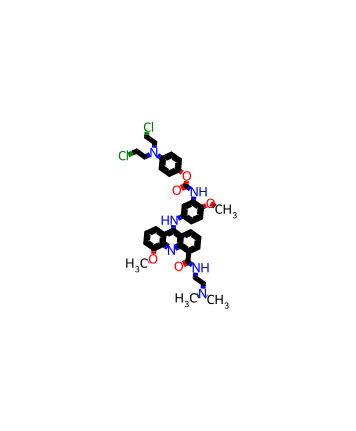 COc1ccc(Nc2c3cccc(OC)c3nc3c(C(=O)NCCN(C)C)cccc23)cc1NC(=O)Oc1ccc(N(CCCl)CCCl)cc1